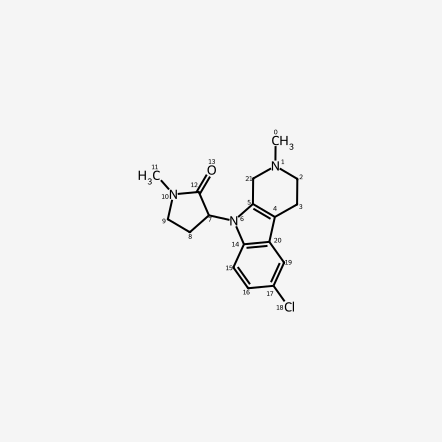 CN1CCc2c(n(C3CCN(C)C3=O)c3ccc(Cl)cc23)C1